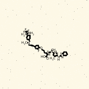 Cc1cc(N(C)c2nc(C(=O)O)c(CCCOc3ccc(C#CCN(C)Cc4ccc(C(N)(N)C(F)(F)F)cc4)cc3F)s2)nnc1Nc1nc2ccccc2s1